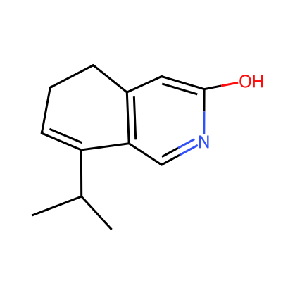 CC(C)C1=CCCc2cc(O)ncc21